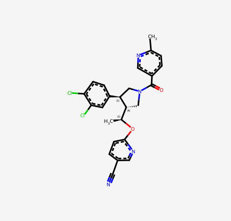 Cc1ccc(C(=O)N2C[C@H]([C@H](C)Oc3ccc(C#N)cn3)[C@@H](c3ccc(Cl)c(Cl)c3)C2)cn1